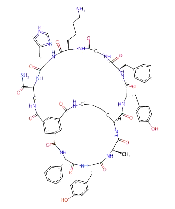 C[C@H]1NC(=O)[C@H](Cc2ccc(O)cc2)NC(=O)[C@H](c2ccccc2)NC(=O)c2cc3cc(c2)C(=O)NC[C@@H](C(N)=O)NC(=O)[C@H](Cc2c[nH]cn2)NC(=O)[C@@H](CCCCN)NC(=O)CNC(=O)[C@@H](Cc2ccccc2)NC(=O)[C@H](Cc2ccc(O)cc2)NC(=O)[C@H](CCCCNC3=O)NC1=O